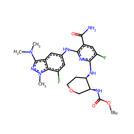 CN(C)c1nn(C)c2c(F)cc(Nc3nc(N[C@@H]4CCOC[C@@H]4NC(=O)OC(C)(C)C)c(F)cc3C(N)=O)cc12